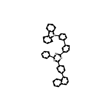 c1ccc(-c2nc(-c3ccc(-c4cccc5ccccc45)cc3)nc(-c3cccc(-c4cccc(-n5c6ccccc6c6ccccc65)c4)c3)n2)cc1